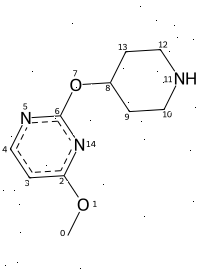 COc1ccnc(OC2CCNCC2)n1